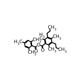 CCCc1c(C)c(CCC)c(C)c(C(=O)OC(=O)c2c(C)cc(C)cc2C)c1C